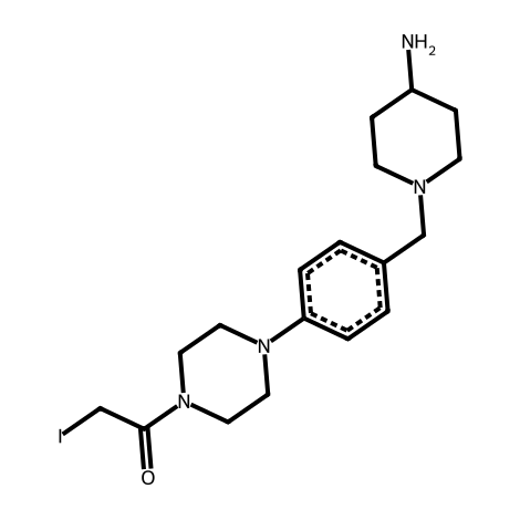 NC1CCN(Cc2ccc(N3CCN(C(=O)CI)CC3)cc2)CC1